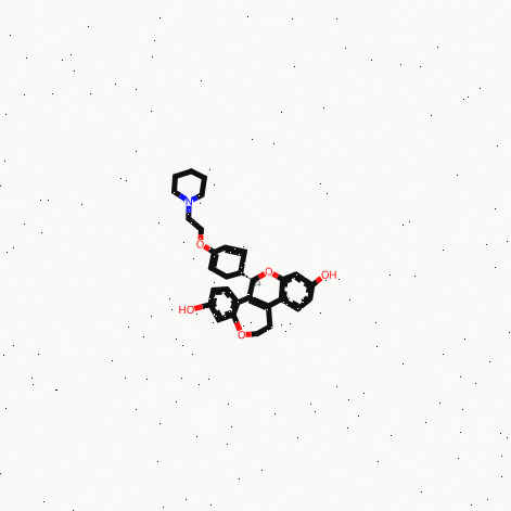 Oc1ccc2c(c1)O[C@@H](C1C=CC(OCCN3CCCCC3)=CC1)C1=C2CCOc2cc(O)ccc21